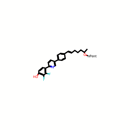 CCCCCOC(C)CCC/C=C/c1ccc(-c2ccc(-c3ccc(O)c(F)c3F)nc2)cc1